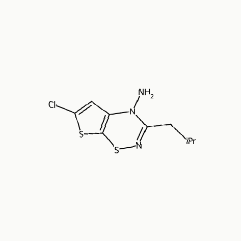 CC(C)CC1=NSc2sc(Cl)cc2N1N